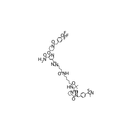 Cc1ncsc1-c1ccc(CNC(=O)C2CCCN2C(=O)[C@@H](NC(=O)CCCCCNC(=O)CCCn2cnc(-c3cnc(OC4CCN(C(=O)Cc5ccc(OC(F)(F)F)cc5)CC4)c(C(N)=O)c3)c2)C(C)(C)C)cc1